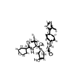 Cc1ncsc1-c1ccc(CNC(=O)[C@@H]2C[C@@H](O)CN2C(=O)C(NC(=O)C2CCOCC2)C(C)(C)C)cc1